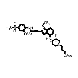 COCCCN1CC[C@H](Nc2cccc3c2cc(C#CCNc2ccc(S(C)(=O)=O)cc2OC)n3CC(F)(F)F)[C@H](F)C1